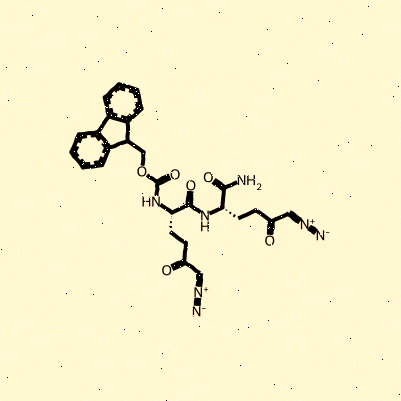 [N-]=[N+]=CC(=O)CC[C@H](NC(=O)[C@H](CCC(=O)C=[N+]=[N-])NC(=O)OCC1c2ccccc2-c2ccccc21)C(N)=O